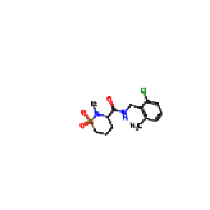 CCN1C(C(=O)NCc2c(C)cccc2Cl)CCCS1(=O)=O